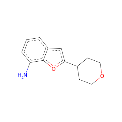 Nc1cccc2cc(C3CCOCC3)oc12